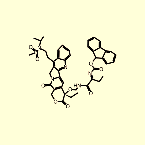 CCC(=NC(=O)OC1c2ccccc2-c2ccccc21)C(=O)NCO[C@]1(CC)C(=O)OCc2c1cc1n(c2=O)Cc2c-1nc1ccccc1c2CCN(C(C)C)S(C)(=O)=O